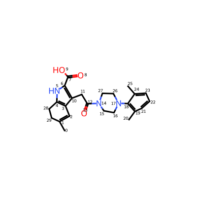 CC1=Cc2c([nH]c(C(=O)O)c2CC(=O)N2CCN(c3c(C)cccc3C)CC2)CC1